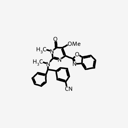 COc1c(-c2nc3ccccc3o2)nc(N(C)C(c2ccccc2)c2cccc(C#N)c2)n(C)c1=O